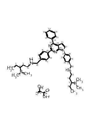 CCC(CCNCc1ccc(-c2nc(-c3ccccc3)c3ccn(-c4ccc(CNCCC(CC)N(C)C)cc4)c3n2)cc1)N(C)C.O=C(O)C(=O)O